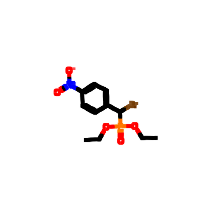 CCOP(=O)(OCC)C(Br)c1ccc([N+](=O)[O-])cc1